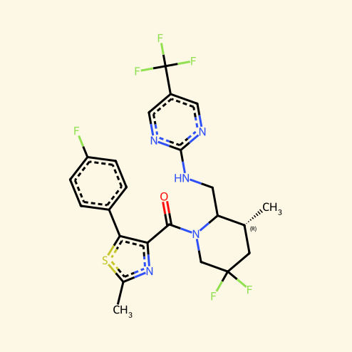 Cc1nc(C(=O)N2CC(F)(F)C[C@@H](C)C2CNc2ncc(C(F)(F)F)cn2)c(-c2ccc(F)cc2)s1